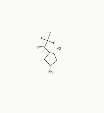 Cl.NN1CCC(C(=O)C(F)(F)F)C1